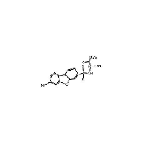 COC(=O)[C@@H](NS(=O)(=O)C1=CC2Oc3cc(C#N)ccc3C2C=C1)C(C)C